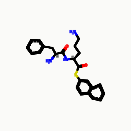 NCCC[C@H](NC(=O)[C@@H](N)Cc1ccccc1)C(=O)Sc1ccc2ccccc2c1